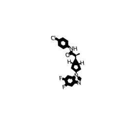 C[C@H](C(=O)Nc1ccc(Cl)cc1)[C@H]1[C@@H]2C[C@@H](n3cnc4cc(F)c(F)cc43)C[C@@H]21